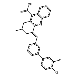 CC1C/C(=C\c2cccc(-c3ccc(Cl)c(Cl)c3)c2)c2nc3ccccc3c(C(=O)O)c2C1